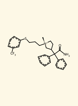 C[N@@+]1(CCCSc2cccc(C(F)(F)F)c2)CCC(C(C(N)=O)(c2ccccc2)c2ccccc2)C1